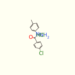 Cc1ccc(N(N)C(=O)c2ccc(Cl)cc2)cc1.Cl